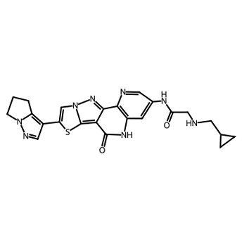 O=C(CNCC1CC1)Nc1cnc2c(c1)[nH]c(=O)c1c2nn2cc(-c3cnn4c3CCC4)sc12